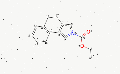 CCOC(=O)n1cc2c(c1)C1=C(C=CCC1)CC2